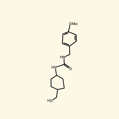 COc1ccc(CNC(=O)NC2CCC(CO)CC2)cc1